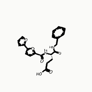 O=C(O)CC[C@H](NC(=O)c1ccc(-c2ccco2)o1)C(=O)NCc1ccccc1